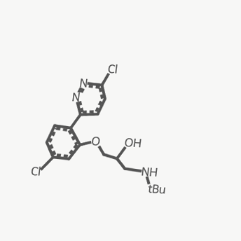 CC(C)(C)NCC(O)COc1cc(Cl)ccc1-c1ccc(Cl)nn1